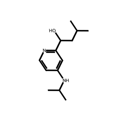 CC(C)CC(O)c1cc(NC(C)C)ccn1